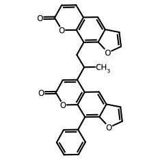 CC(Cc1c2occc2cc2ccc(=O)oc12)c1cc(=O)oc2c(-c3ccccc3)c3occc3cc12